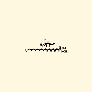 CCCCCCCCCCCCCCCCOP(=O)(O)CC.C[N+](C)(C)CCO